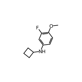 COc1ccc(NC2CCC2)cc1F